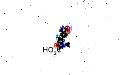 O=C(O)c1cn(C2CC2)c2cc(-c3ccc4c(c3)CCNS4(=O)=O)c(F)cc2c1=O